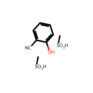 CS(=O)(=O)O.CS(=O)(=O)O.N#Cc1ccccc1O